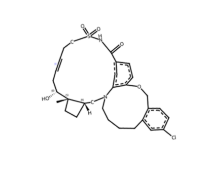 C[C@]12CC[C@H]1CN1CCCCc3cc(Cl)ccc3COc3ccc(cc31)C(=O)NS(=O)(=O)CC/C=C/C[C@H]2O